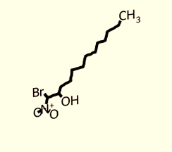 CCCCCCCCCCCC(O)C(Br)[N+](=O)[O-]